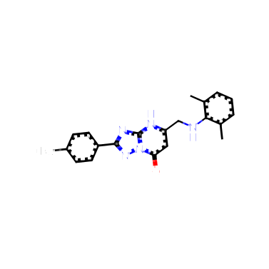 Cc1cccc(C)c1NCc1cc(=O)n2nc(-c3ccc(C(C)(C)C)cc3)nc2[nH]1